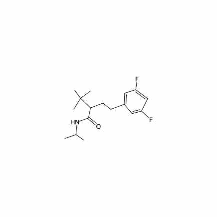 CC(C)NC(=O)C(CCc1cc(F)cc(F)c1)C(C)(C)C